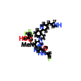 CNc1cc(N2CCc3c(-c4ccc(CC5CNC5)cn4)cccc32)nn2c(C(=O)N[C@@H]3C[C@@H]3F)cnc12.O=C(O)C(F)(F)F